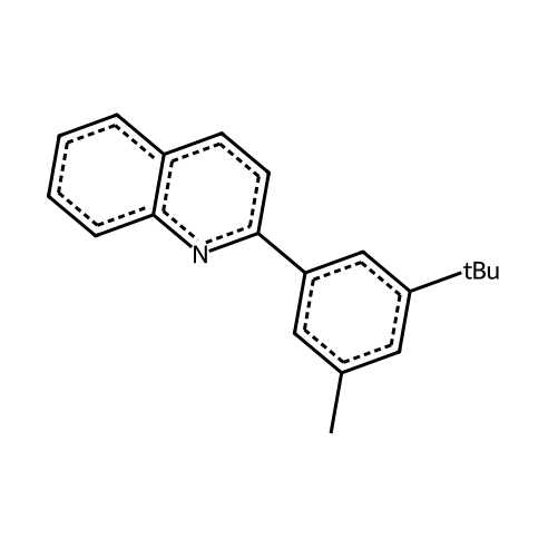 Cc1cc(-c2ccc3ccccc3n2)cc(C(C)(C)C)c1